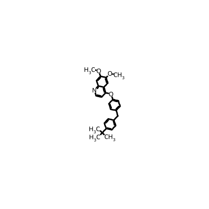 COc1cc2nccc(Oc3ccc(Cc4ccc(C(C)(C)C)cc4)cc3)c2cc1OC